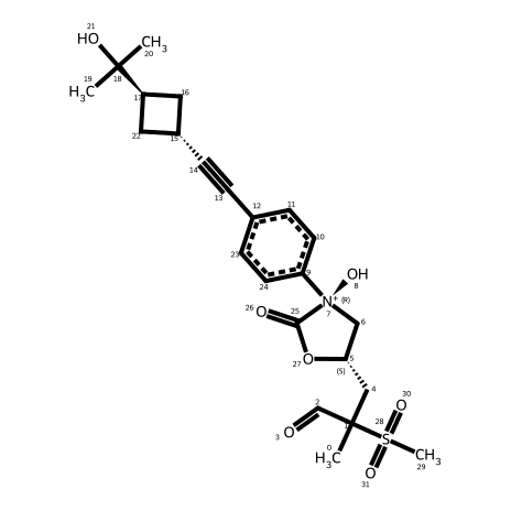 CC(C=O)(C[C@H]1C[N@@+](O)(c2ccc(C#C[C@H]3C[C@H](C(C)(C)O)C3)cc2)C(=O)O1)S(C)(=O)=O